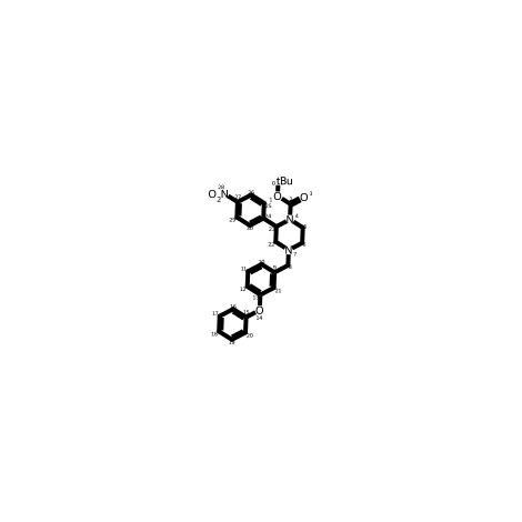 CC(C)(C)OC(=O)N1CCN(Cc2cccc(Oc3ccccc3)c2)CC1c1ccc([N+](=O)[O-])cc1